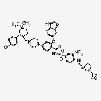 CC1(C)CCC(CN2CCN(c3ccc(C(=O)NS(=O)(=O)c4ccc(NC[C@H]5CCN(C6COC6)C5)c([N+](=O)[O-])c4)c(Oc4cnc5[nH]ccc5c4)c3)CC2)=C(c2ccc(Cl)cc2)C1